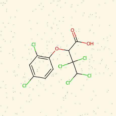 O=C(O)C(Oc1ccc(Cl)cc1Cl)C(Cl)(Cl)[C](Cl)Cl